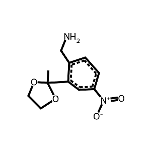 CC1(c2cc([N+](=O)[O-])ccc2CN)OCCO1